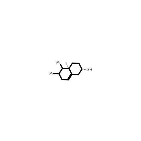 CC(C)C1CC=C2C[C@@H](S)CC[C@]2(C)C1C(C)C